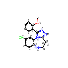 COc1ccccc1-c1nnc2n1-c1cc(Cl)ccc1NC[C@H]2C